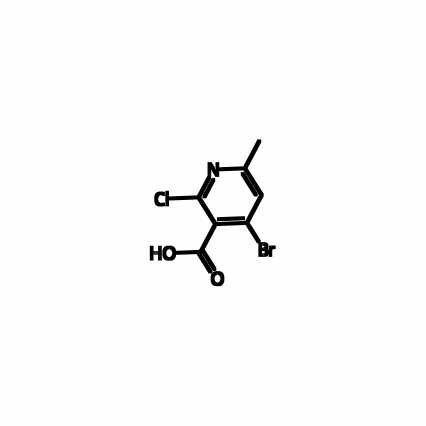 Cc1cc(Br)c(C(=O)O)c(Cl)n1